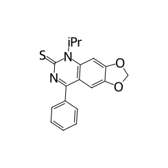 CC(C)n1c(=S)nc(-c2ccccc2)c2cc3c(cc21)OCO3